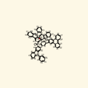 O=P(c1ccc2c(c1)[Si](c1ccccc1)(c1ccccc1)c1cc3c4ccccc4c4ccccc4c3cc1-2)(c1ccc2c(c1)c1ccccc1n2-c1ccccc1)c1ccc2c(c1)c1ccccc1n2-c1ccccc1